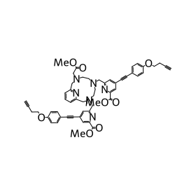 C#CCCOc1ccc(C#Cc2cc(CN3CCN(CC(=O)OC)Cc4cccc(n4)CN(Cc4cc(C#Cc5ccc(OCCC#C)cc5)cc(C(=O)OC)n4)CC3)nc(C(=O)OC)c2)cc1